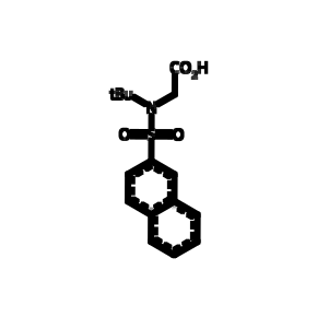 CC(C)(C)N(CC(=O)O)S(=O)(=O)c1ccc2ccccc2c1